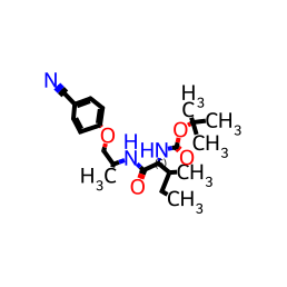 CCC(C)[C@H](NC(=O)OC(C)(C)C)C(=O)NC(C)COc1ccc(C#N)cc1